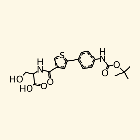 CC(C)(C)OC(=O)Nc1ccc(-c2cc(C(=O)NC(CO)C(=O)O)cs2)cc1